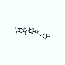 Cc1nc(NCCCC2CCN(C)CC2)ncc1-c1nc2cc(Cl)c(F)cc2n1C